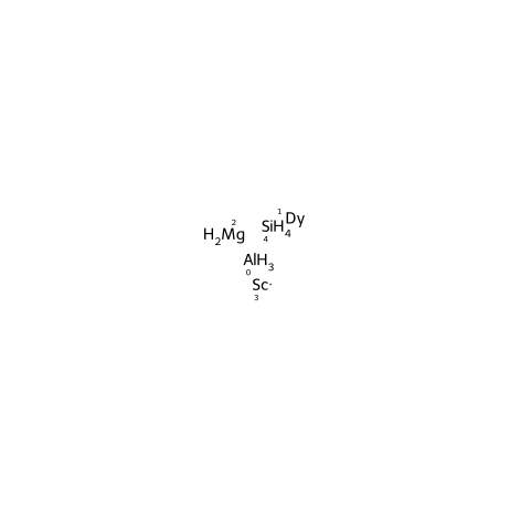 [AlH3].[Dy].[MgH2].[Sc].[SiH4]